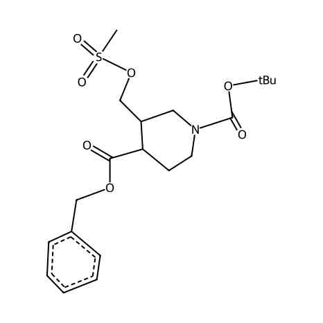 CC(C)(C)OC(=O)N1CCC(C(=O)OCc2ccccc2)C(COS(C)(=O)=O)C1